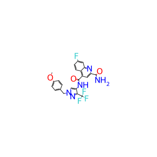 COc1ccc(Cn2cc(NC(=O)c3cc(C(N)=O)nc4cc(F)ccc34)c(C(F)(F)F)n2)cc1